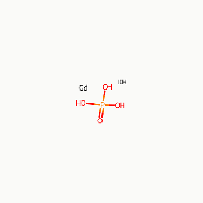 O=P(O)(O)O.[Gd].[KH]